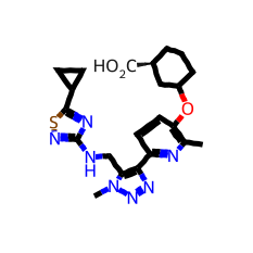 Cc1nc(-c2nnn(C)c2CNc2nsc(C3CC3)n2)ccc1OC1CCC[C@H](C(=O)O)C1